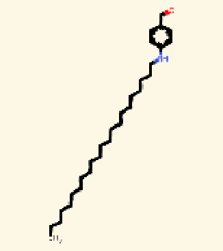 CCCCCCCCCCCCCCCCCCCCCCNc1ccc(C=O)cc1